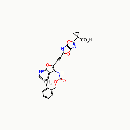 Cc1ccccc1COC(=O)Nc1c(C#Cc2nc3oc(C4(C(=O)O)CC4)nc3o2)oc2ncccc12